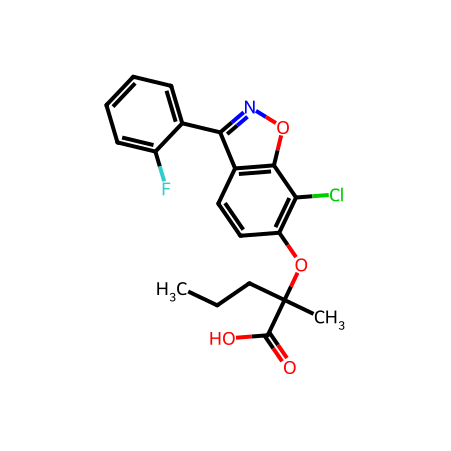 CCCC(C)(Oc1ccc2c(-c3ccccc3F)noc2c1Cl)C(=O)O